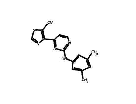 Cc1cc(C)cc(Nc2nccc(-c3ncsc3C#N)n2)c1